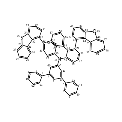 c1ccc(-c2cc(-c3ccccc3)cc(N(c3ccc(-c4cccc5sc6ccccc6c45)cc3)c3cccc(-c4cccc5oc6ccccc6c45)c3-c3ccccc3)c2)cc1